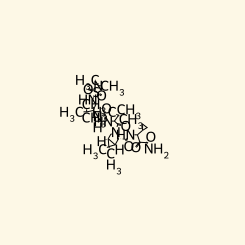 CN(C)S(=O)(=O)NC[C@@H](NC(=O)N[C@H](C(=O)N1C[C@H]2[C@@H]([C@H]1C(=O)NC(C(=O)C(N)=O)C1CC1)C2(C)C)C(C)(C)C)C(C)(C)C